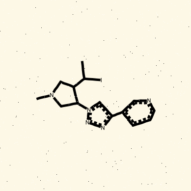 CC(I)C1CN(C)CC1n1cc(-c2cccnc2)nn1